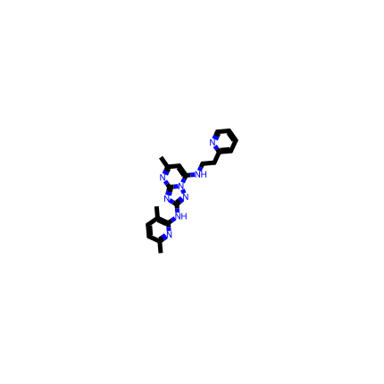 Cc1ccc(C)c(Nc2nc3nc(C)cc(NCCc4ccccn4)n3n2)n1